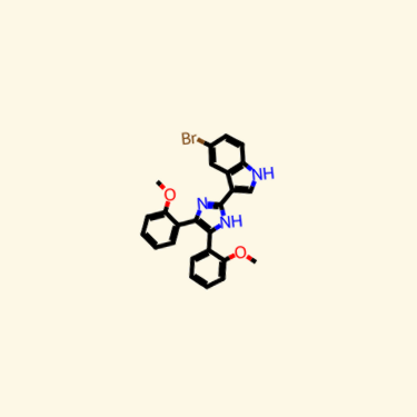 COc1ccccc1-c1nc(-c2c[nH]c3ccc(Br)cc23)[nH]c1-c1ccccc1OC